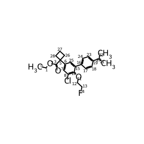 CCOC(=O)C1(c2cc(Cl)c(OCCF)c(-c3ccc(C(C)C)cc3)c2)CCC1